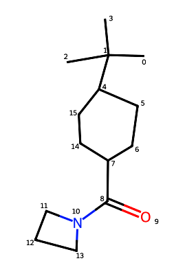 CC(C)(C)C1CCC(C(=O)N2CCC2)CC1